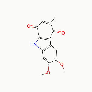 COc1cc2[nH]c3c(c2cc1OC)C(=O)C(C)=CC3=O